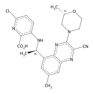 Cc1cc([C@@H](C)Nc2ccc(Cl)nc2C(=O)O)c2nc(N3CCO[C@@H](C)C3)c(C#N)nc2c1